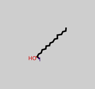 CCCCCCCCCCCCCCCC(O)I